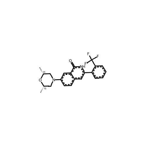 C[C@@H]1CN(c2ccc3cc(-c4ccccc4C(F)(F)F)[nH]c(=O)c3c2)C[C@H](C)O1